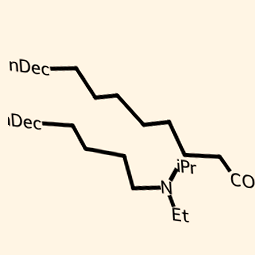 CCCCCCCCCCCCCCCCCC(=O)O.CCCCCCCCCCCCCCN(CC)C(C)C